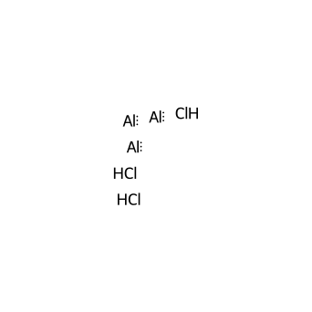 Cl.Cl.Cl.[Al].[Al].[Al]